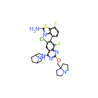 Nc1nc2c(-c3c(Cl)cc4c(N5CC6CCC(C5)N6)nc(OCC56CCCN5CCC6)nc4c3F)ccc(F)c2s1